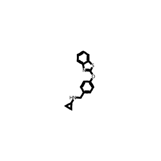 c1ccc2sc(Oc3ccc(CNC4CC4)cc3)nc2c1